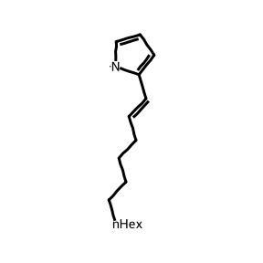 CCCCCCCCCC/C=C/C1=CC=C[N]1